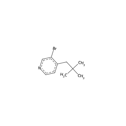 CC(C)(C)Cc1ccncc1Br